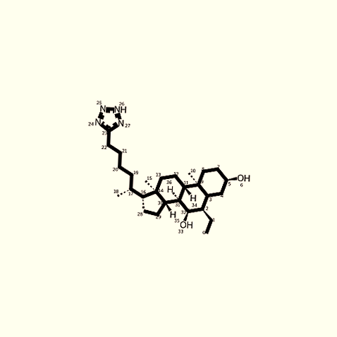 CC[C@@H]1C2C[C@H](O)CC[C@]2(C)[C@H]2CC[C@]3(C)[C@@H]([C@H](C)CCCCc4nn[nH]n4)CC[C@H]3[C@@H]2[C@@H]1O